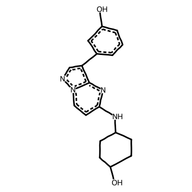 Oc1cccc(-c2cnn3ccc(NC4CCC(O)CC4)nc23)c1